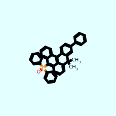 CC1(C)c2cc(-c3ccccc3)ccc2-c2c3ccccc3c(P(=O)(c3ccccc3)c3ccccc3)c3cccc1c23